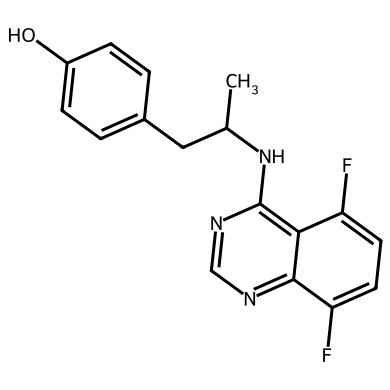 CC(Cc1ccc(O)cc1)Nc1ncnc2c(F)ccc(F)c12